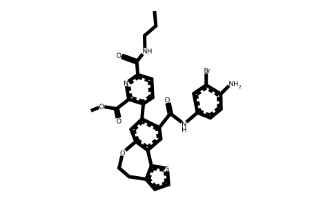 CCCNC(=O)c1ccc(-c2cc3c(cc2C(=O)Nc2ccc(N)c(Br)c2)-c2sccc2CCO3)c(C(=O)OC)n1